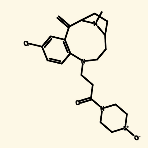 C=C1c2cc(Cl)ccc2N(CCC(=O)N2CC[S+]([O-])CC2)CCC2CCC1N2C